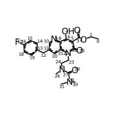 CCOC(=O)c1c(O)c2ncc(Cc3ccc(F)cc3)cc2n(CCN(C)C(=O)N(C)C)c1=O